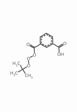 CC(C)(C)OOOC(=O)c1cccc(C(=O)O)c1